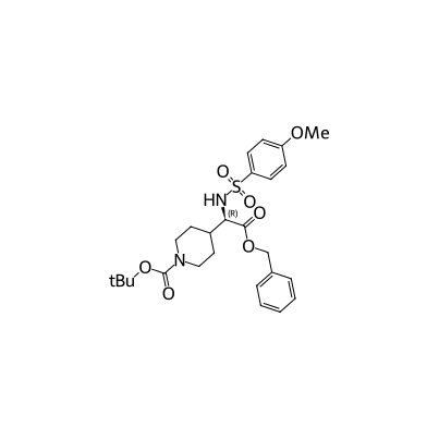 COc1ccc(S(=O)(=O)N[C@@H](C(=O)OCc2ccccc2)C2CCN(C(=O)OC(C)(C)C)CC2)cc1